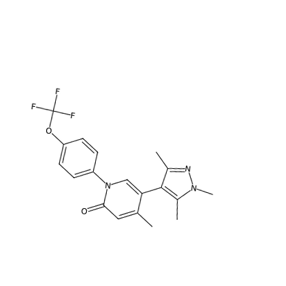 Cc1cc(=O)n(-c2ccc(OC(F)(F)F)cc2)cc1-c1c(C)nn(C)c1C